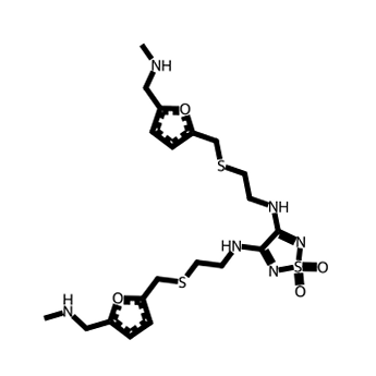 CNCc1ccc(CSCCNC2=NS(=O)(=O)N=C2NCCSCc2ccc(CNC)o2)o1